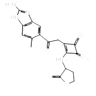 Cc1cc2[nH]c(N)nc2cc1C(=O)Cc1c(NC2CCOC2=O)c(=O)c1=O